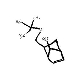 CC(C)(C)OCC1CC2C=CC1C2O